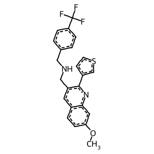 COc1ccc2cc(CNCc3ccc(C(F)(F)F)cc3)c(-c3ccsc3)nc2c1